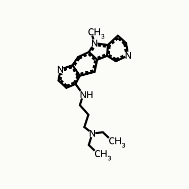 CCN(CC)CCCNc1ccnc2cc3c(cc12)c1cnccc1n3C